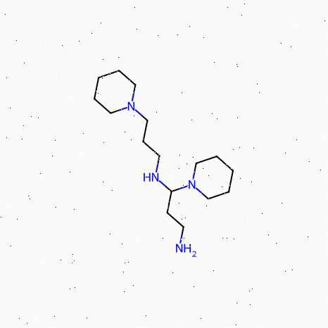 NCCC(NCCCN1CCCCC1)N1CCCCC1